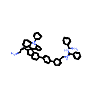 NC/C=C\C1=Cc2ccc(-c3ccc(-c4cccc(CNC(NC(N)c5ccccc5)c5ccccc5)c4)cc3)cc2C12c1ccccc1N(c1ccccc1)c1ccccc12